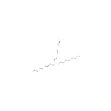 CCCCCCCCCN(CCCCCCCCC)CCOCCOCCN